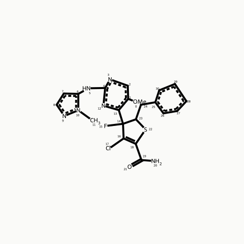 COc1cnc(Nc2ccnn2C)nc1C1(F)C(Cl)=C(C(N)=O)SC1Cc1ccccc1